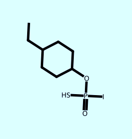 CCC1CCC(OP(=O)(S)I)CC1